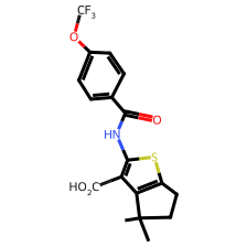 CC1(C)CCc2sc(NC(=O)c3ccc(OC(F)(F)F)cc3)c(C(=O)O)c21